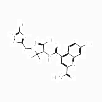 CCc1noc(CN2N=C(C(F)(F)F)C(NC(=O)c3cc(C(N)=O)nc4cc(F)ccc34)C2(C)C)n1